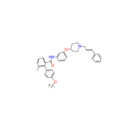 Cc1cccc(C(=O)Nc2cccc(OC3CCN(C/C=C/c4ccccc4)CC3)c2)c1-c1ccc(OC(F)(F)F)cc1